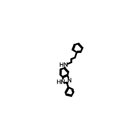 c1ccc(CCCNc2ccc3[nH]c(-c4ccccc4)nc3c2)cc1